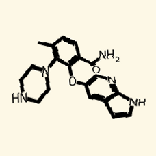 Cc1ccc(C(N)=O)c(Oc2cnc3[nH]ccc3c2)c1N1CCNCC1